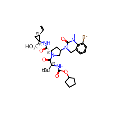 C=C[C@@H]1C[C@]1(NC(=O)[C@@H]1CC(N2Cc3cccc(Br)c3NC2=O)CN1C(=O)[C@@H](NC(=O)OC1CCCC1)C(C)(C)C)C(=O)O